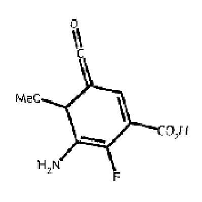 COC1C(=C=O)C=C(C(=O)O)C(F)=C1N